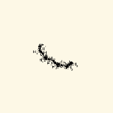 Cn1cnc(NC(=O)c2cc(NC(=O)CCNC(=O)c3nc(NC(=O)CCCNC(=O)c4cc(NC(=O)c5nc(NC(=O)CCNC(=O)c6cc(NC(=O)c7nccn7C)cn6C)cn5C)cn4C)cn3C)cn2C)c1